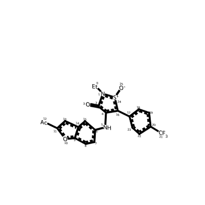 CCn1c(=O)c(Nc2ccc3oc(C(C)=O)cc3c2)c(-c2ccc(C(F)(F)F)cc2)[s+]1[O-]